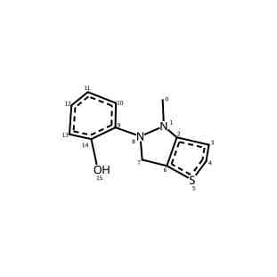 CN1c2ccsc2CN1c1ccccc1O